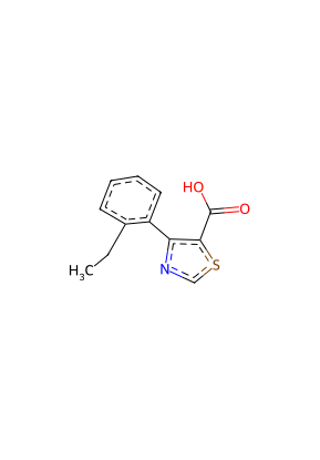 CCc1ccccc1-c1ncsc1C(=O)O